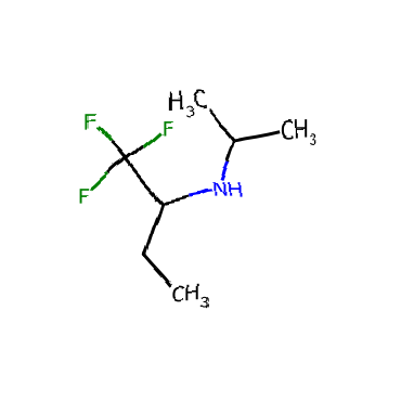 CCC(NC(C)C)C(F)(F)F